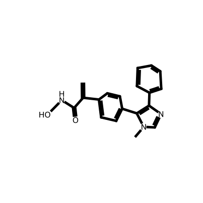 C=C(C(=O)NO)c1ccc(-c2c(-c3ccccc3)ncn2C)cc1